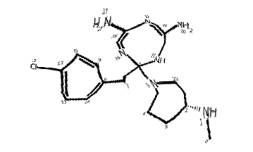 CN[C@@H]1CCN(C2(Cc3ccc(Cl)cc3)N=C(N)N=C(N)N2)C1